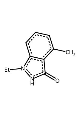 CCn1[nH]c(=O)c2c(C)cccc21